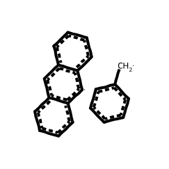 [CH2]c1ccccc1.[c]1c2ccccc2cc2ccccc12